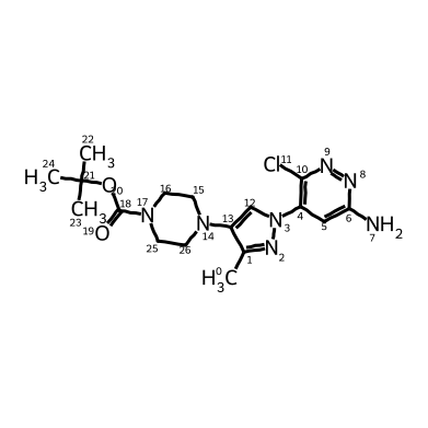 Cc1nn(-c2cc(N)nnc2Cl)cc1N1CCN(C(=O)OC(C)(C)C)CC1